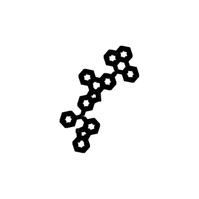 c1ccc(-c2ccccc2N(c2ccccc2)c2ccc3c(c2)c2ccccc2c2c4ccc(N(c5ccccc5)c5cccc6c5oc5ccccc56)cc4sc32)cc1